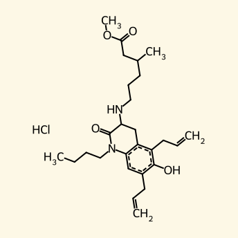 C=CCc1cc2c(c(CC=C)c1O)CC(NCCCC(C)CC(=O)OC)C(=O)N2CCCC.Cl